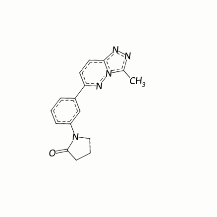 Cc1nnc2ccc(-c3cccc(N4CCCC4=O)c3)nn12